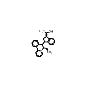 C=CC1C(C2C/C(=C(\C)O)c3cccc[n+]32)c2ccccc2-c2cccc[n+]21